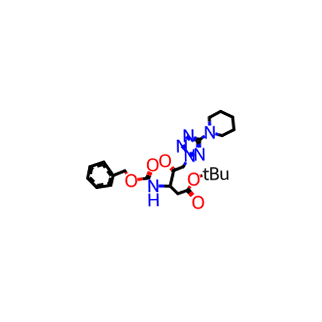 CC(C)(C)OC(=O)CC(NC(=O)OCc1ccccc1)C(=O)Cn1nnc(N2CCCCC2)n1